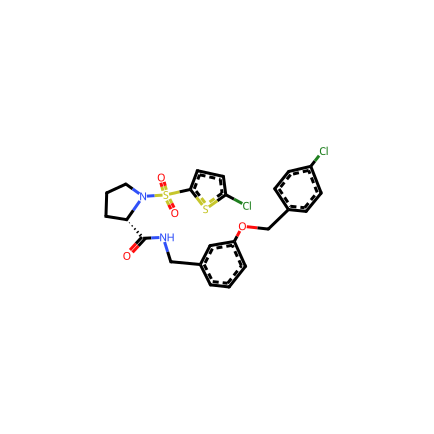 O=C(NCc1cccc(OCc2ccc(Cl)cc2)c1)[C@@H]1CCCN1S(=O)(=O)c1ccc(Cl)s1